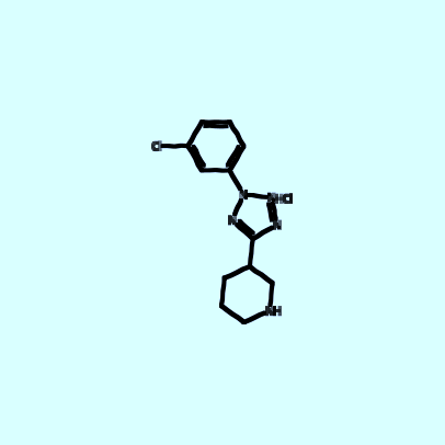 Cl.Clc1cccc(-n2nnc(C3CCCNC3)n2)c1